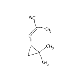 C/C(C#N)=C\[C@H]1CC1(C)C